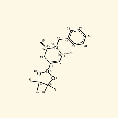 C[C@@H]1C=C(B2OC(C)(C)C(C)(C)O2)C[C@@H](C)N1Cc1ccccc1